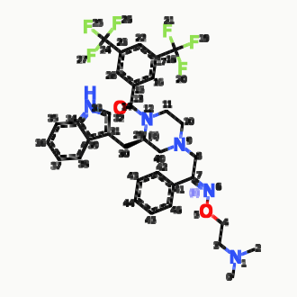 CN(C)CCO/N=C(/CN1CCN(C(=O)c2cc(C(F)(F)F)cc(C(F)(F)F)c2)[C@H](Cc2c[nH]c3ccccc23)C1)c1ccccc1